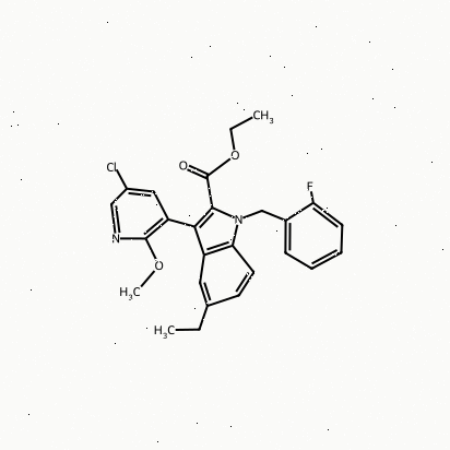 CCOC(=O)c1c(-c2cc(Cl)cnc2OC)c2cc(CC)ccc2n1Cc1ccccc1F